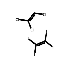 ClC=C(Cl)Cl.IC(I)=C(I)I